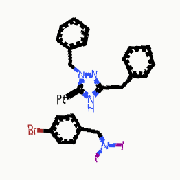 Brc1ccc(CN(I)I)cc1.[Pt]=[c]1[nH]c(Cc2ccccc2)nn1Cc1ccccc1